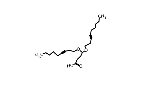 CCCCCC#CCCOC(CCC(=O)O)OCCC#CCCCCC